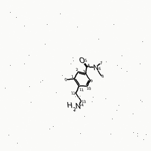 Cc1cc(C(=O)N(C)C)ccc1CCN